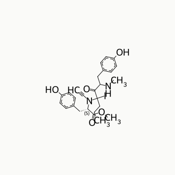 C#CN([C@@H](Cc1ccc(O)cc1)C(=O)OC)C(I)(CCC)C(=O)C(Cc1ccc(O)cc1)NC